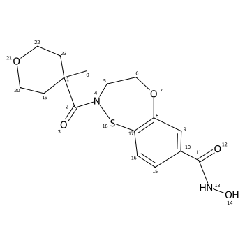 CC1(C(=O)N2CCOc3cc(C(=O)NO)ccc3S2)CCOCC1